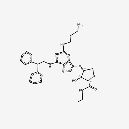 CCNC(=O)[C@H]1OC[C@H](On2cnc3c(NCC(c4ccccc4)c4ccccc4)nc(NCCCN)nc32)[C@@H]1O